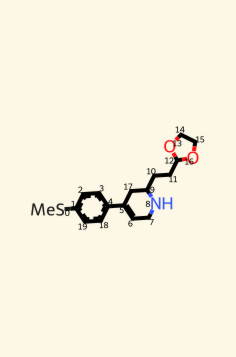 CSc1ccc(C2=CCNC(CCC3OCCO3)C2)cc1